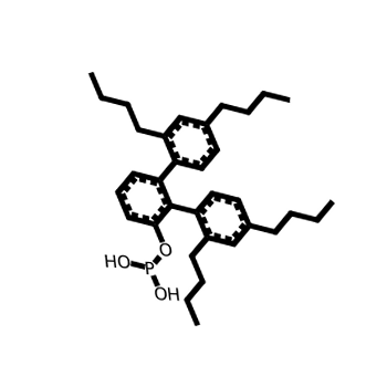 CCCCc1ccc(-c2cccc(OP(O)O)c2-c2ccc(CCCC)cc2CCCC)c(CCCC)c1